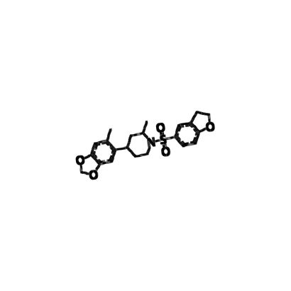 Cc1cc2c(cc1C1CCN(S(=O)(=O)c3ccc4c(c3)CCO4)C(C)C1)OCO2